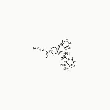 CCOC(=O)N1CCC2(CC1)CC(NC(=O)c1cccc3cn[nH]c13)c1cccnc1O2